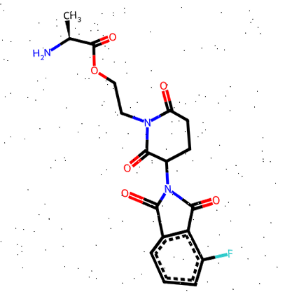 C[C@H](N)C(=O)OCCN1C(=O)CCC(N2C(=O)c3cccc(F)c3C2=O)C1=O